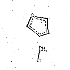 CCC.c1ccoc1